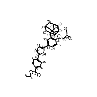 CCOC(=O)c1ccc(-c2ncc(-c3ccc(OCC(C)C)c(C45CC6CC(CC(C6)C4)C5)c3)s2)cc1